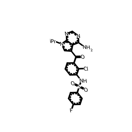 CC(C)n1cc(C(=O)c2cccc(NS(=O)(=O)c3ccc(F)cc3)c2Cl)c2c(N)ncnc21